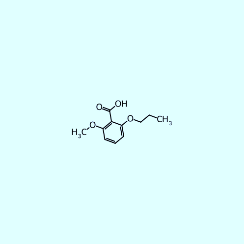 CCCOc1cccc(OC)c1C(=O)O